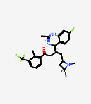 C/C(N)=N/C(=C(\CC(=O)c1cccc(C(F)(F)F)c1C)CC1C[C@H](C)N1C)c1ccc(F)cc1